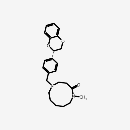 CN1CCCCCN(Cc2ccc([C@H]3COc4ccccc4O3)cc2)CCC1=O